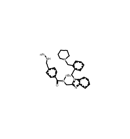 CCCCN(Cc1nc2ccccc2n1Cc1ccccc1CN1CCCCC1)C(=O)c1ccc(CNCCC)cc1